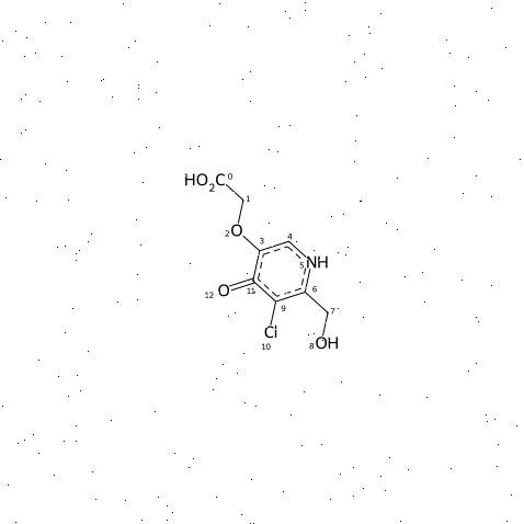 O=C(O)COc1c[nH]c(CO)c(Cl)c1=O